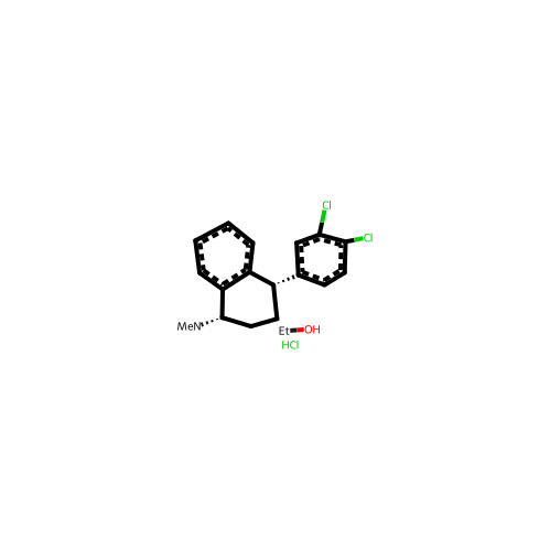 CCO.CN[C@H]1CC[C@@H](c2ccc(Cl)c(Cl)c2)c2ccccc21.Cl